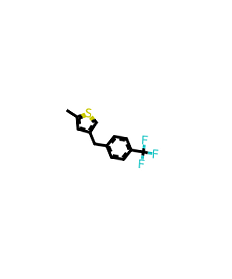 Cc1cc(Cc2ccc(C(F)(F)F)cc2)cs1